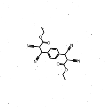 CCOC(=O)C(C#N)C(C#N)c1ccc(C(C#N)C(C#N)C(=O)OCC)cc1